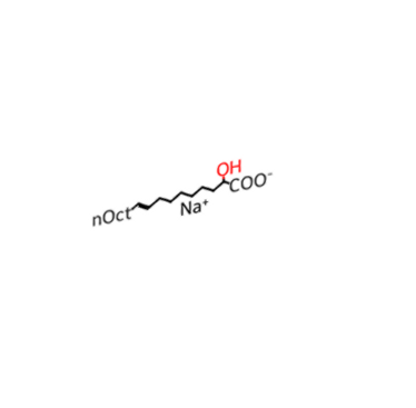 CCCCCCCCC=CCCCCCCC(O)C(=O)[O-].[Na+]